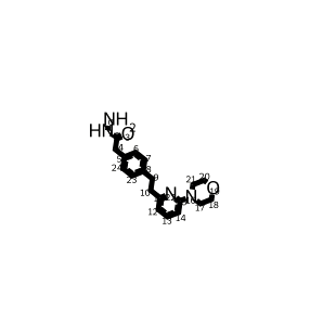 NNC(=O)Cc1ccc(CCc2cccc(N3CCOCC3)n2)cc1